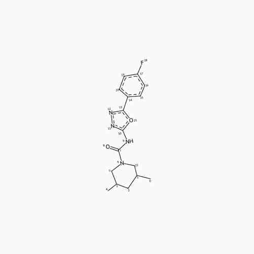 CC1CC(C)CN(C(=O)Nc2nnc(-c3ccc(F)cc3)o2)C1